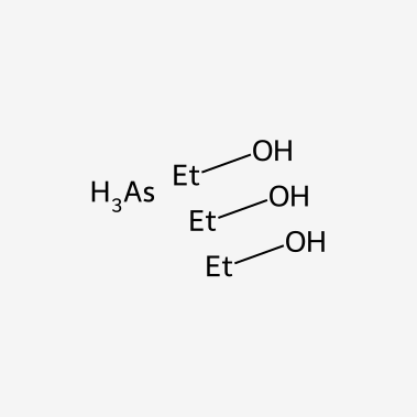 CCO.CCO.CCO.[AsH3]